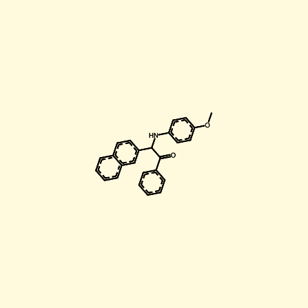 COc1ccc(NC(C(=O)c2ccccc2)c2ccc3ccccc3c2)cc1